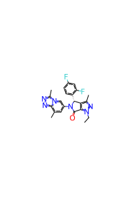 CCn1nc(C)c2c1C(=O)N(c1cc(C)c3nnc(C)n3c1)[C@@H]2c1ccc(F)cc1F